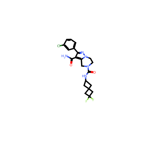 NC(=O)c1c(-c2cccc(Cl)c2)nn2c1CN(C(=O)NC1CC3(C1)CC(F)(F)C3)CC2